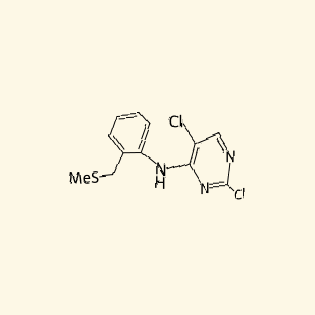 CSCc1ccccc1Nc1nc(Cl)ncc1Cl